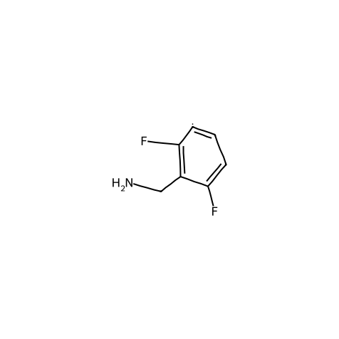 NCc1c(F)[c]ccc1F